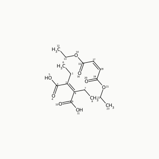 CC/C(C(=O)O)=C(\CC)C(=O)O.CCOC(=O)/C=C\C(=O)OCC